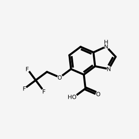 O=C(O)c1c(OCC(F)(F)F)ccc2[nH]cnc12